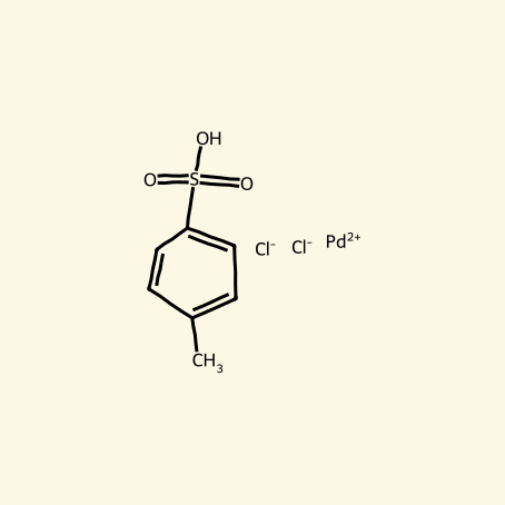 Cc1ccc(S(=O)(=O)O)cc1.[Cl-].[Cl-].[Pd+2]